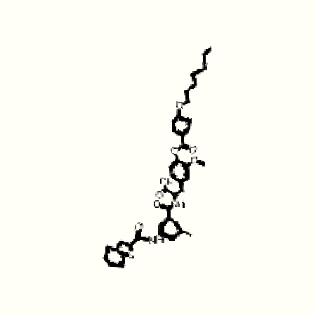 CCCCCCCOc1ccc(C(=O)Oc2ccc(CC(NC(=O)C3=CC(NC(=O)c4cc5ccccc5s4)=CC(C)C3)C(=O)O)cc2OC)cc1